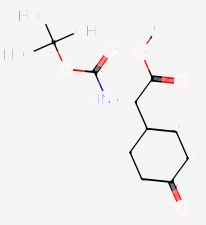 COC(=O)[C@@H](NC(=O)OC(C)(C)C)C1CCC(=O)CC1